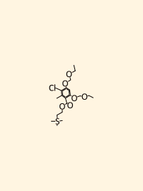 CCOCOc1cc(OCOCC)c(C(=O)OCCS(C)(C)C)c(C)c1Cl